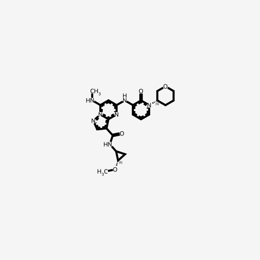 CNc1cc(Nc2cccn([C@H]3CCCOC3)c2=O)nc2c(C(=O)NC3C[C@@H]3OC)cnn12